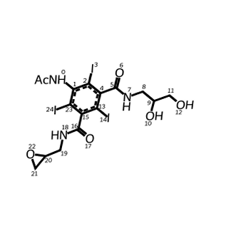 CC(=O)Nc1c(I)c(C(=O)NCC(O)CO)c(I)c(C(=O)NCC2CO2)c1I